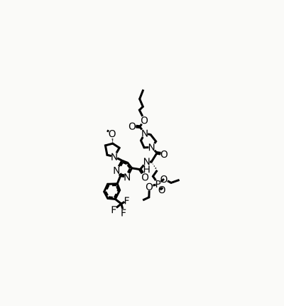 CCCCOC(=O)N1CCN(C(=O)[C@H](CCP(=O)(OCC)OCC)NC(=O)c2cc(N3CC[C@H](OC)C3)nc(-c3cccc(C(F)(F)F)c3)n2)CC1